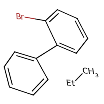 Brc1ccccc1-c1ccccc1.CCC